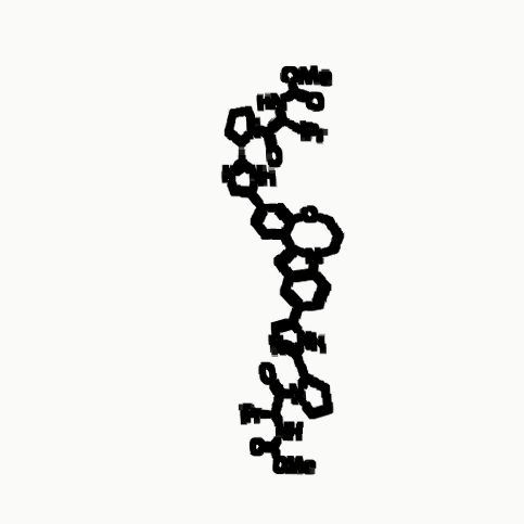 COC(=O)N[C@H](C(=O)N1CCCC1c1ncc(-c2ccc3c(c2)cc2n3CCCOc3cc(-c4cnc([C@@H]5CCCN5C(=O)[C@@H](NC(=O)OC)C(C)C)[nH]4)ccc3-2)[nH]1)C(C)C